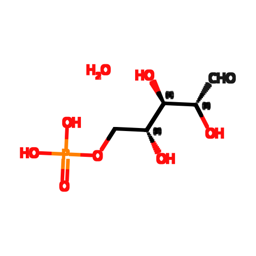 O.O=C[C@H](O)[C@H](O)[C@H](O)COP(=O)(O)O